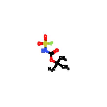 CC(C)(C)OC(=O)NS(=O)(=O)F